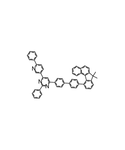 CC1(C)c2cccc(-c3ccc(-c4ccc(-c5cc(-c6ccc(-c7ccccc7)nc6)nc(-c6ccccc6)n5)cc4)cc3)c2-c2c1ccc1ccccc21